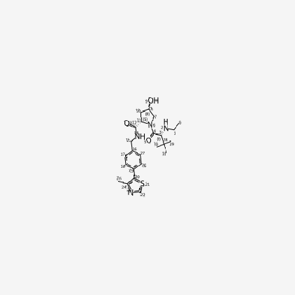 CCN[C@@H](C(=O)N1C[C@H](O)C[C@H]1C(=O)NCc1ccc(-c2scnc2C)cc1)C(C)(C)C